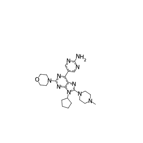 CN1CCN(c2nc3c(-c4cnc(N)nc4)nc(N4CCOCC4)nc3n2C2CCCC2)CC1